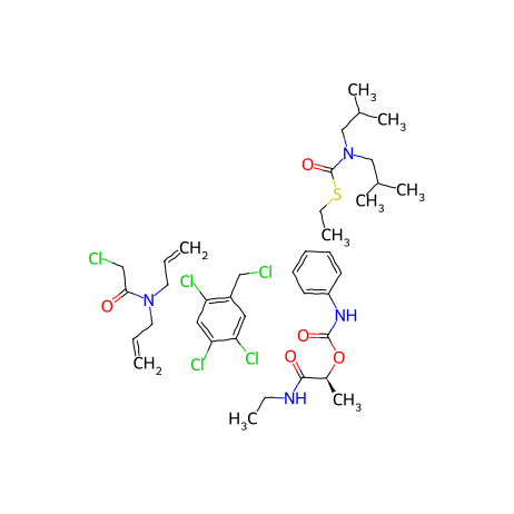 C=CCN(CC=C)C(=O)CCl.CCNC(=O)[C@H](C)OC(=O)Nc1ccccc1.CCSC(=O)N(CC(C)C)CC(C)C.ClCc1cc(Cl)c(Cl)cc1Cl